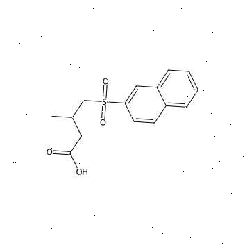 CC(CC(=O)O)CS(=O)(=O)c1ccc2ccccc2c1